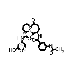 CC(=O)Nc1cccc(C(=O)N[C@H]2CCC(=O)N3CCC[C@@H](C(=O)N[C@H](C=O)CC(=O)O)N3C2=O)c1